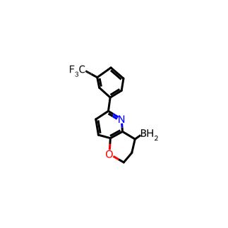 BC1CCOc2ccc(-c3cccc(C(F)(F)F)c3)nc21